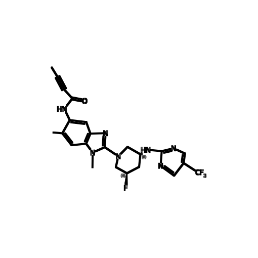 CC#CC(=O)Nc1cc2nc(N3C[C@H](F)C[C@@H](Nc4ncc(C(F)(F)F)cn4)C3)n(C)c2cc1C